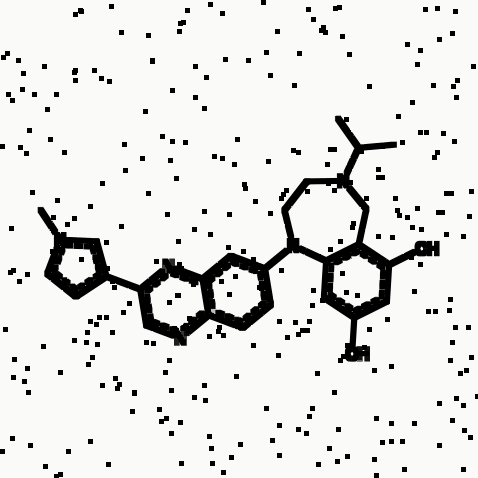 CC(C)N1CCN(c2ccc3ncc(-c4ccn(C)c4)nc3c2)c2cc(O)cc(O)c2C1